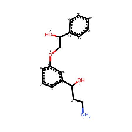 NCCC(O)c1cccc(OCC(O)c2ccccc2)c1